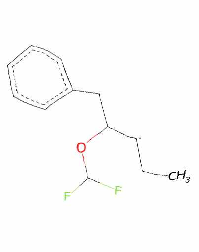 CC[CH]C(Cc1ccccc1)OC(F)F